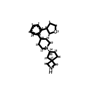 c1ccc(C2CCOC2)c(C2CCN([C@@H]3CCC4(CNC4)C3)CC2)c1